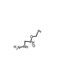 CC(C)CO[PH](=O)CNN